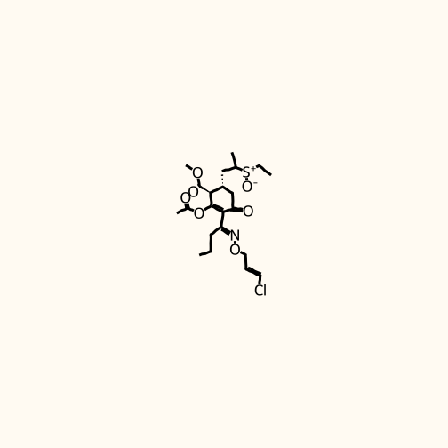 CCCC(=NOCC=CCl)C1=C(OC(C)=O)[C@@H](C(=O)OC)[C@H](CC(C)[S+]([O-])CC)CC1=O